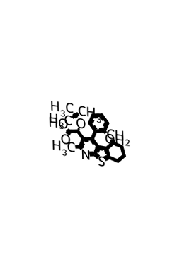 C=C1CCCc2sc3nc(C)c([C@H](OC(C)(C)C)C(=O)O)c(-c4ccccc4O)c3c21